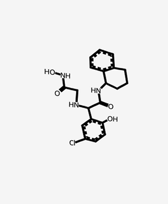 O=C(CNC(C(=O)NC1CCCc2ccccc21)c1cc(Cl)ccc1O)NO